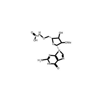 COC1C(O)[C@@H](CON[PH](=O)O)O[C@H]1n1cnc2c(=O)[nH]c(N)nc21